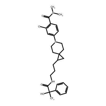 CN(C)C(=O)c1ccc(N2CCC3(CC2)CC3CCCNC(=O)C(O)(c2ccccc2)C(F)(F)F)cc1Cl